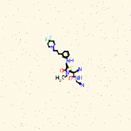 CCn1c(=C(C#N)C(=O)NCC#N)sc(=CNc2cccc(CCCN3CCC(F)(F)CC3)c2)c1=O